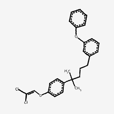 CC(C)(CCCc1cccc(Oc2ccccc2)c1)c1ccc(OC=C(Cl)Cl)cc1